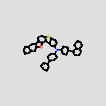 c1ccc(-c2ccc(N(c3ccc(-c4cccc5ccccc45)cc3)c3ccc4sc5ccc6c7cc8ccccc8cc7oc6c5c4c3)cc2)cc1